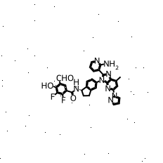 Cc1cc(-n2cccn2)nc2c1nc(-c1cccnc1N)n2-c1ccc2c(c1)CC[C@@H]2NC(=O)c1cc(C=O)c(O)c(F)c1F